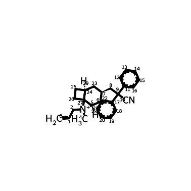 C=CC[N+]1(C)[C@H]2C[C@H](CC(C#N)(c3ccccc3)c3ccccc3)C[C@@H]3CCC321